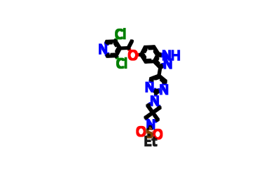 CCS(=O)(=O)N1CC2(CN(c3ncc(-c4n[nH]c5ccc(OC(C)c6c(Cl)cncc6Cl)cc45)cn3)C2)C1